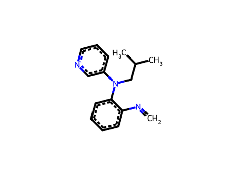 C=Nc1ccccc1N(CC(C)C)c1cccnc1